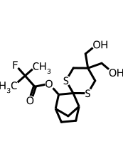 CC(C)(F)C(=O)OC1C2CCC(C2)C12SCC(CO)(CO)CS2